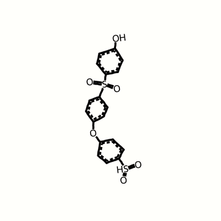 O=[SH](=O)c1ccc(Oc2ccc(S(=O)(=O)c3ccc(O)cc3)cc2)cc1